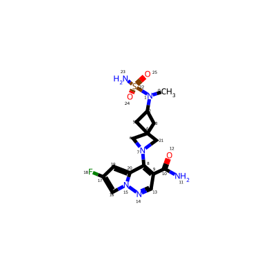 CN(C1CC2(C1)CN(c1c(C(N)=O)cnn3cc(F)cc13)C2)S(N)(=O)=O